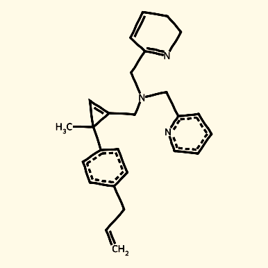 C=CCc1ccc(C2(C)C=C2CN(CC2=NCCC=C2)Cc2ccccn2)cc1